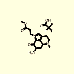 COC(=O)CCn1cc2c3c1C(=O)C(N)=CC3N(C)CC2.O=C(O)C(F)(F)F